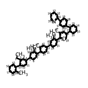 CCc1cc(-c2ccc(-c3ccc(-c4ccc(-c5ccc(-c6ccccc6-c6ccc(-c7ccccn7)cc6)cc5C)c(C)c4)cc3C)c(C)c2)ccc1-c1ccccc1C